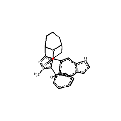 Cn1nc2c(c1-c1ccccc1)CC1CCCC2N1C(=O)c1cc2[nH]ccc2cc1Cl